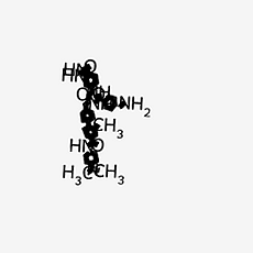 Cc1cc(C(=O)NC2CCC(N(C)C)CC2)ccc1-c1ccc(CC(NC(=O)[C@H]2CC[C@H](CN)CC2)C(=O)Nc2ccc3c(=O)[nH][nH]c3c2)cc1